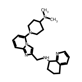 CN(C)C1CCN(c2cccc3nc(CN[C@H]4CCCc5cccnc54)cn23)CC1